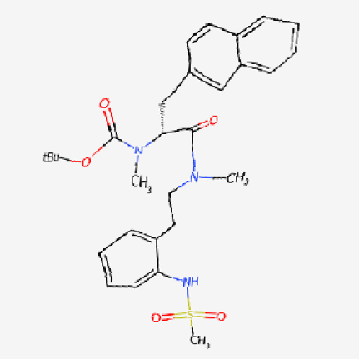 CN(CCc1ccccc1NS(C)(=O)=O)C(=O)[C@@H](Cc1ccc2ccccc2c1)N(C)C(=O)OC(C)(C)C